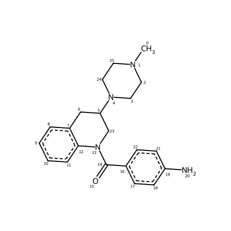 CN1CCN(C2Cc3ccccc3N(C(=O)c3ccc(N)cc3)C2)CC1